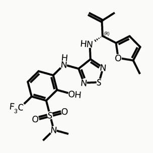 C=C(C)[C@@H](Nc1nsnc1Nc1ccc(C(F)(F)F)c(S(=O)(=O)N(C)C)c1O)c1ccc(C)o1